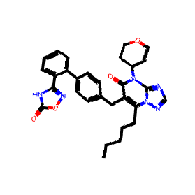 CCCCCc1c(Cc2ccc(-c3ccccc3-c3noc(=O)[nH]3)cc2)c(=O)n(C2CCOCC2)c2ncnn12